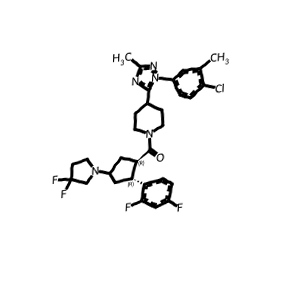 Cc1nc(C2CCN(C(=O)[C@@H]3CC(N4CCC(F)(F)C4)C[C@H]3c3ccc(F)cc3F)CC2)n(-c2ccc(Cl)c(C)c2)n1